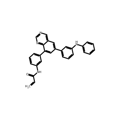 C=CC(=O)Nc1cccc(-c2cc(-c3cccc(Nc4ccccc4)c3)cc3cncnc23)c1